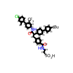 Cc1cc(Cl)ccc1-c1ccc(NC(=O)C(Cc2ccc(C(=O)NCCS(=O)(=O)O)cc2)c2ccc(-c3ccc(C(C)(C)C)cc3)cc2)cc1C(F)(F)F